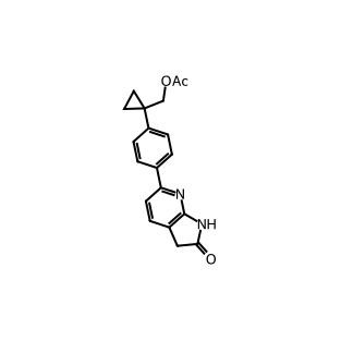 CC(=O)OCC1(c2ccc(-c3ccc4c(n3)NC(=O)C4)cc2)CC1